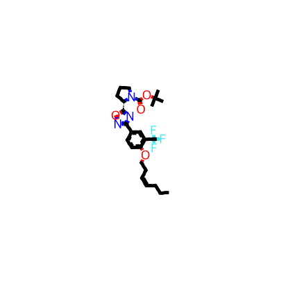 CCC/C=C\CCOc1ccc(-c2noc([C@@H]3CCCN3C(=O)OC(C)(C)C)n2)cc1C(F)(F)F